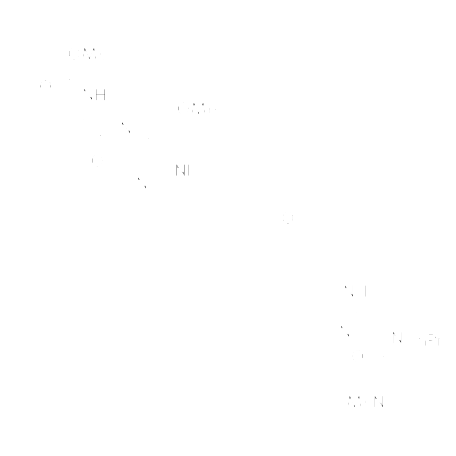 CCCN(Cc1nc2ccc3cc4c(cc3c2[nH]1)OCc1cc(-c2cnc(C3C(OC)CN3C(=O)C(NC(=O)OC)c3ccccc3)[nH]2)ccc1-4)C(=O)CNC